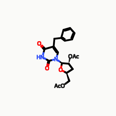 CC(=O)OC[C@@H]1C[C@@H](OC(C)=O)[C@H](n2cc(Cc3ccccc3)c(=O)[nH]c2=O)O1